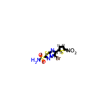 NS(=O)(=O)c1nn2c(Br)c(-c3ccc([N+](=O)[O-])s3)nc2s1